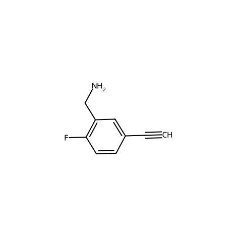 C#Cc1ccc(F)c(CN)c1